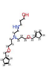 OCCCNCCN(CCCOCC1=CC=CC1)CCCOCC1=CC=CC1